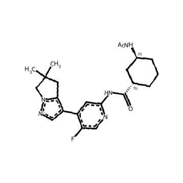 CC(=O)N[C@H]1CCC[C@H](C(=O)Nc2cc(-c3cnn4c3CC(C)(C)C4)c(F)cn2)C1